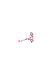 Cc1cc(C)c(C(=O)P(=O)(COC(=O)NCCCCCCNC(=O)O)C(=O)c2c(C)cc(C)cc2C)c(C)c1